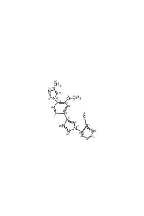 COc1cc(-c2cn(-c3cccnc3F)nn2)ccc1-n1cnc(C)c1